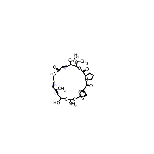 CC1=C\C(O)CC(N)Cc2nc(cs2)C(=O)N2CCCC2C(=O)OC(C(C)C)C(C)/C=C/C(=O)NC\C=C\1